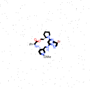 CO[n+]1cccc(CNc2cc(N3CCCC[C@H]3CCOC(=O)[C@H](N)C(C)C)nc3c(Br)cnn23)c1